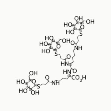 O=C(CCS[C@H]1O[C@H](CO)[C@@H](O)[C@H](O)[C@@H]1O)NCCCC[C@H](NC(=O)[C@H](CCCCNC(=O)CCS[C@H]1O[C@H](CO)[C@@H](O)[C@H](O)[C@@H]1O)NC(=O)CCS[C@H]1O[C@H](CO)[C@@H](O)[C@H](O)[C@@H]1O)C(=O)O